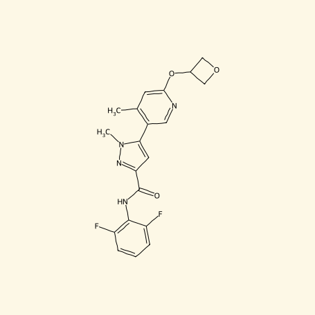 Cc1cc(OC2COC2)ncc1-c1cc(C(=O)Nc2c(F)cccc2F)nn1C